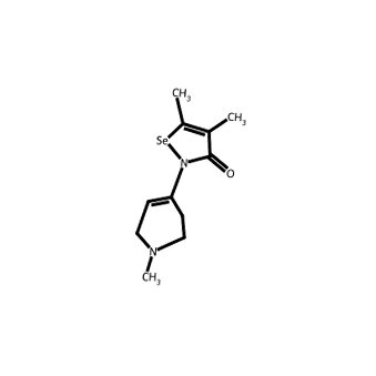 Cc1[se]n(C2=CCN(C)CC2)c(=O)c1C